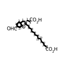 O=Cc1ccc(CN(CCC(=O)O)C(=O)CCCCCCCCCCCCCC(=O)O)cc1